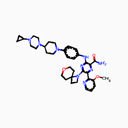 COc1cccnc1-c1nc(C(N)=O)c(Nc2ccc(N3CCC(N4CCN(C5CC5)CC4)CC3)cc2)nc1N1CCC12CCOCC2